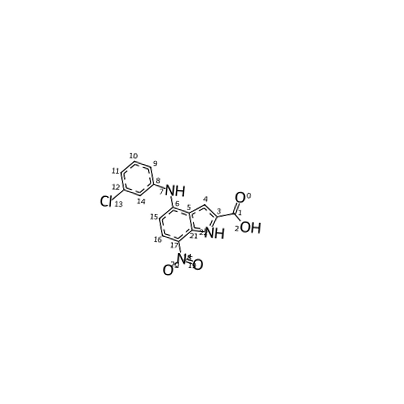 O=C(O)c1cc2c(Nc3cccc(Cl)c3)ccc([N+](=O)[O-])c2[nH]1